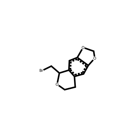 BrCC1OCCc2cc3c(cc21)OCO3